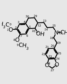 COc1cc2c(cc1OC)C(O)C(CCCN(C)CCc1ccc3c(c1)OCO3)CC2